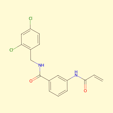 C=CC(=O)Nc1cccc(C(=O)NCc2ccc(Cl)cc2Cl)c1